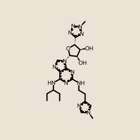 CCC(CC)Nc1nc(NCCc2cn(C)cn2)nc2c1ncn2[C@@H]1O[C@H](c2nnn(C)n2)[C@@H](O)[C@H]1O